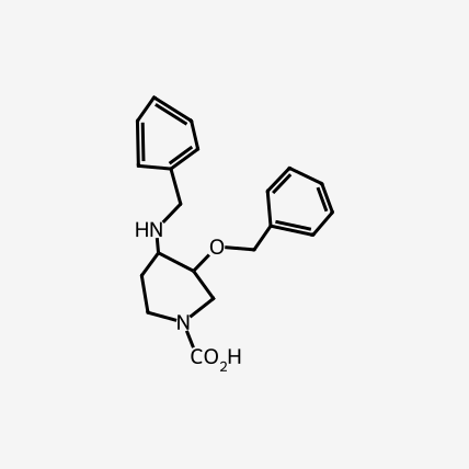 O=C(O)N1CCC(NCc2ccccc2)C(OCc2ccccc2)C1